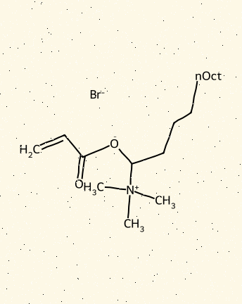 C=CC(=O)OC(CCCCCCCCCCC)[N+](C)(C)C.[Br-]